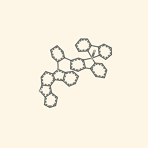 O=S12(c3ccccc3-c3ccccc31)c1ccccc1-c1ccc(-c3ccccc3-n3c4ccccc4c4c5c(ccc43)sc3ccccc35)cc12